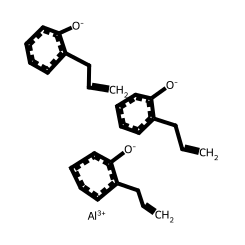 C=CCc1ccccc1[O-].C=CCc1ccccc1[O-].C=CCc1ccccc1[O-].[Al+3]